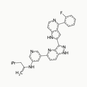 C=C(CC(C)C)Nc1cncc(-c2ccc3[nH]nc(-c4cc5c(-c6ccccc6F)nccc5[nH]4)c3n2)c1